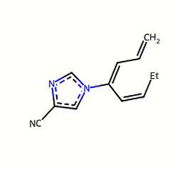 C=C/C=C(\C=C/CC)n1cnc(C#N)c1